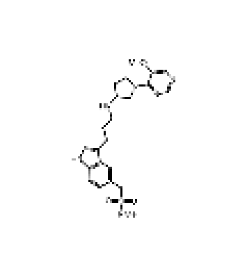 CNS(=O)(=O)Cc1ccc2[nH]cc(CCCNC3CCN(c4ncncc4OC)C3)c2c1